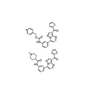 CN1CCC(C(=O)Nc2cccc(-c3ccnc4c(C(=O)c5cccs5)cnn34)c2)CC1.O=C(Nc1cccc(-c2ccnc3c(C(=O)c4cccs4)cnn23)c1)OCc1ccncc1